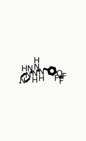 CN1CCN(C(=N)NC(=N)NCc2ccc(OC(F)(F)F)cc2)CC1